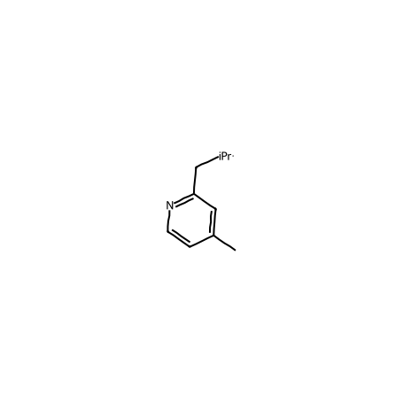 C[C](C)Cc1cc(C)ccn1